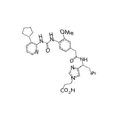 COc1cc(CC(=O)NC(CC(C)C)c2cn(CCC(=O)O)cn2)ccc1NC(=O)Nc1ncccc1C1CCCC1